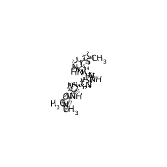 Cc1ccc(-c2ccnc3[nH]c(-c4n[nH]c5ncc(-c6cncc(NC(=O)CN(C)C)c6)cc45)cc23)s1